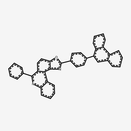 c1ccc(-c2nc3ccccc3c3c2ccc2oc(-c4ccc(-c5cc6ccccc6c6ccccc56)cc4)nc23)cc1